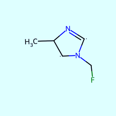 CC1[CH]N(CF)[C]=N1